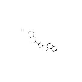 O=C(N[C@H]1CC[C@H](O)CC1)c1nc(-c2cnc3[nH]ccc3c2Cl)no1